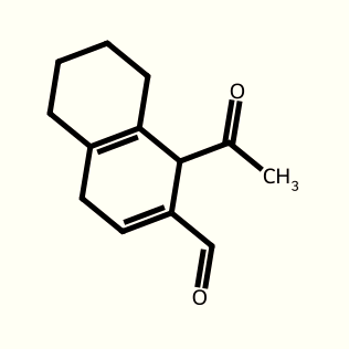 CC(=O)C1C(C=O)=CCC2=C1CCCC2